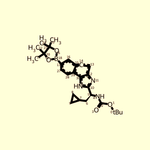 CC(C)(C)OC(=O)N[C@@H](CC1CC1)c1nc2ccc3cc(B4OC(C)(C)C(C)(C)O4)ccc3c2[nH]1